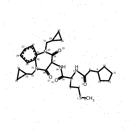 CSCC[C@H](NC(=O)CC1CCCC1)C(=O)NC1C(=O)N(CC2CC2)c2ccccc2N(CC2CC2)C1=O